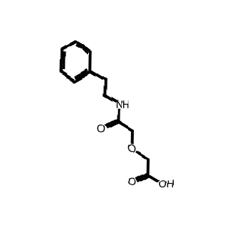 O=C(O)COCC(=O)NCCc1ccccc1